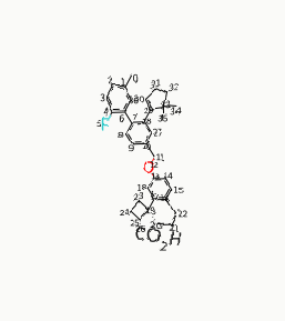 Cc1ccc(F)c(-c2ccc(COc3ccc4c(c3)[C@]3(CCC4)CC[C@H]3C(=O)O)cc2C2=CCCC2(C)C)c1